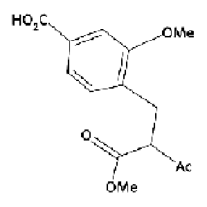 COC(=O)C(Cc1ccc(C(=O)O)cc1OC)C(C)=O